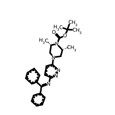 C[C@@H]1CN(c2ccc(N=C(c3ccccc3)c3ccccc3)nn2)C[C@H](C)N1C(=O)OC(C)(C)C